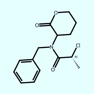 C[C@@H](Cl)C(=O)N(Cc1ccccc1)C1CCCOC1=O